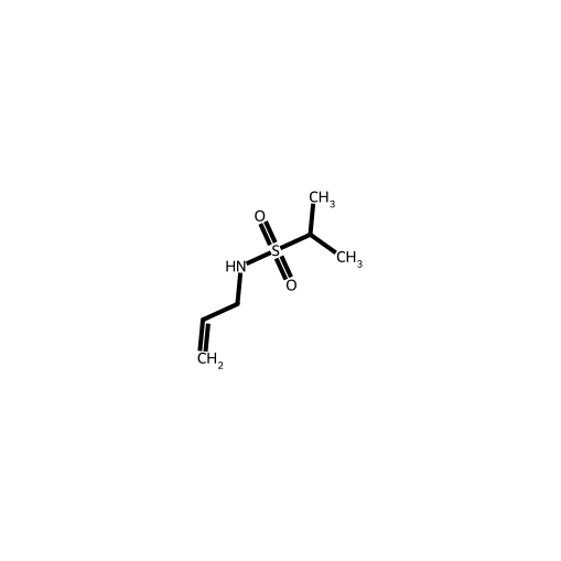 C=CCNS(=O)(=O)C(C)C